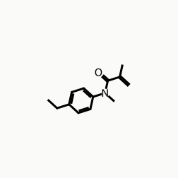 C=C(C)C(=O)N(C)c1ccc(CC)cc1